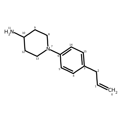 C=C[CH]c1ccc(N2CCC(N)CC2)cc1